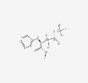 COC(=O)[C@@H](Nc1ccccc1)C(C)(C)C(=O)OC(C)(C)C